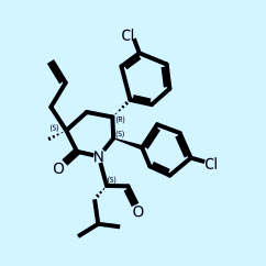 C=CC[C@@]1(C)C[C@H](c2cccc(Cl)c2)[C@@H](c2ccc(Cl)cc2)N([C@H](C=O)CC(C)C)C1=O